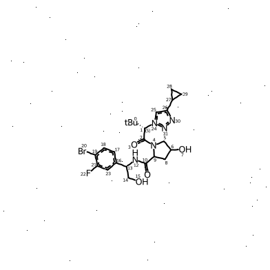 CC(C)(C)[C@@H](C(=O)N1CC(O)CC1C(=O)NC(CO)c1ccc(Br)c(F)c1)n1cc(C2CC2)nn1